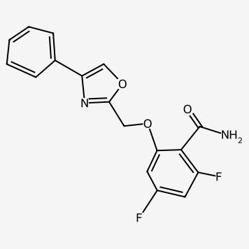 NC(=O)c1c(F)cc(F)cc1OCc1nc(-c2ccccc2)co1